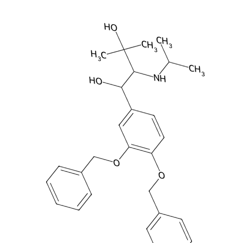 CC(C)NC(C(O)c1ccc(OCc2ccccc2)c(OCc2ccccc2)c1)C(C)(C)O